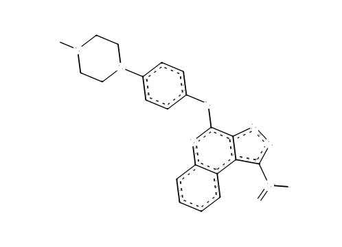 CN1CCN(c2ccc(Nc3nc4ccccc4c4c([N+](=O)[O-])[nH]nc34)cc2)CC1